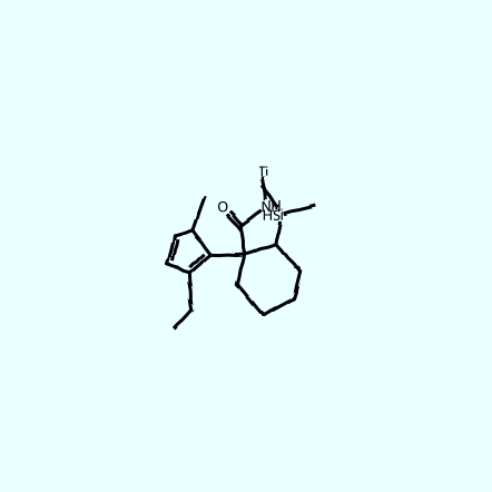 CCC1=C(C2(C(=O)[NH][Ti])CCCCC2[SiH](C)C)C(C)C=C1